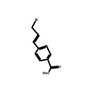 COC(=O)c1ccc(C=CCBr)cc1